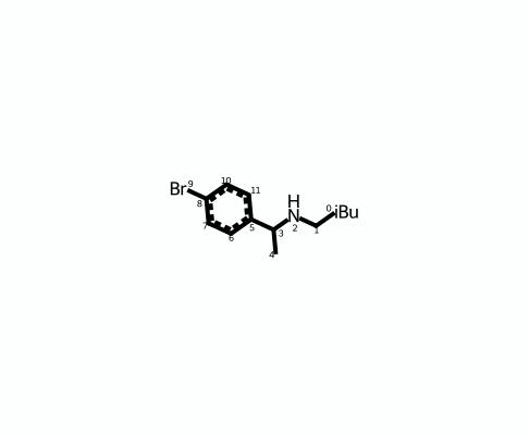 CCC(C)CNC(C)c1ccc(Br)cc1